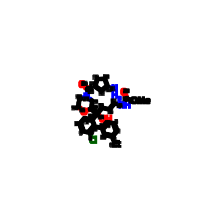 CCc1cccc(-c2c(Cl)cccc2C(O)(CCCNC(=O)OC)C2CN(C(=O)[C@@H]3CC[C@H](N)C3)CCO2)c1